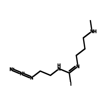 CNCCC/N=C(/I)NCCN=[N+]=[N-]